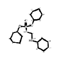 S=P(OC1CCCCC1)(OC1CCCCC1)SCNC1CCCCC1